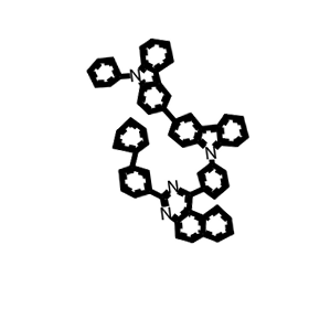 c1ccc(-c2cccc(-c3nc(-c4cccc(-n5c6ccccc6c6cc(-c7ccc8c(c7)c7ccccc7n8-c7ccccc7)ccc65)c4)c4c(ccc5ccccc54)n3)c2)cc1